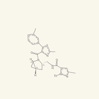 CCn1nc(C)cc1C(=O)NC[C@@H]1C[C@@H]2C[C@@H]2N1C(=O)c1nc(C)sc1-c1cccc(C)c1